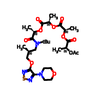 CC(=O)O[C@@H](C)C(=O)O[C@@H](C)C(=O)O[C@@H](C)C(=O)O[C@@H](C)C(=O)N(C[C@H](C)COc1nsnc1N1CCOCC1)C(C)(C)C